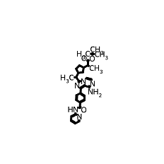 CC(C(=O)OC(C)(C)C)C1CCC(C(C)c2nc(-c3ccc(C(=O)Nc4ccccn4)cc3)c3c(N)nccn23)C1